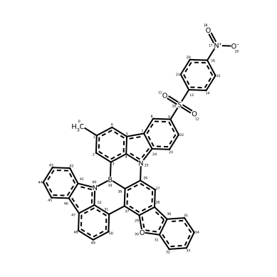 Cc1cc2c3c(c1)c1cc(S(=O)(=O)c4ccc([N+](=O)[O-])cc4)ccc1n3-c1cc3c(oc4ccccc43)c3c1B2n1c2ccccc2c2cccc-3c21